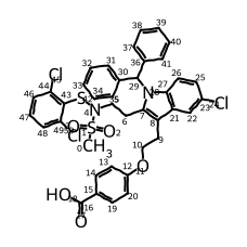 CS(=O)(=O)N(CCc1c(CCOc2ccc(C(=O)O)cc2)c2cc(Cl)ccc2n1C(c1ccccc1)c1ccccc1)Sc1c(Cl)cccc1Cl